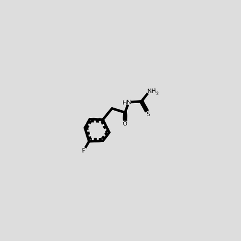 NC(=S)NC(=O)Cc1ccc(F)cc1